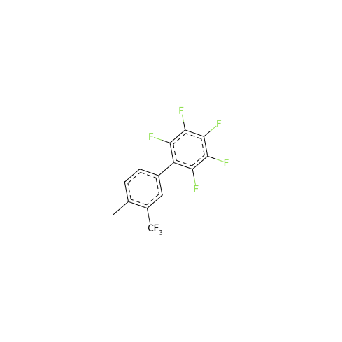 Cc1ccc(-c2c(F)c(F)c(F)c(F)c2F)cc1C(F)(F)F